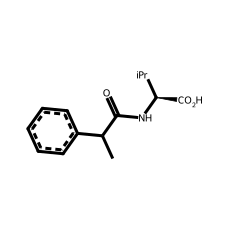 CC(C(=O)N[C@H](C(=O)O)C(C)C)c1ccccc1